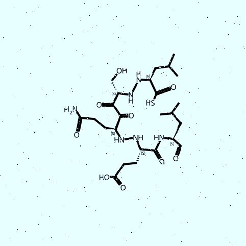 CC(C)C[C@@H](C=O)NC(=O)[C@H](CCC(=O)O)NN[C@@H](CCC(N)=O)C(=O)C(=O)[C@H](CO)NN[C@@H](CC(C)C)C(=O)S